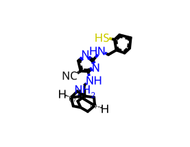 N#Cc1cnc(NCc2ccccc2S)nc1NC[C@]12CC3C[C@H](C1)[C@@H](N)[C@@H](C3)C2